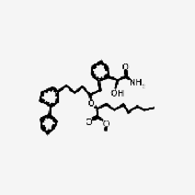 CCCCCCCC(OC(CCCc1cccc(-c2ccccc2)c1)Cc1ccccc1C(O)C(N)=O)C(=O)OC